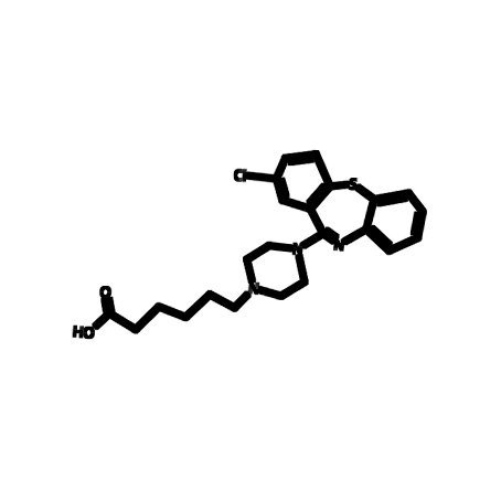 O=C(O)CCCCCN1CCN(C2=Nc3ccccc3Sc3ccc(Cl)cc32)CC1